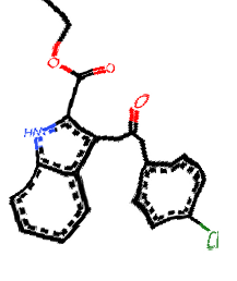 CCOC(=O)c1[nH]c2ccccc2c1C(=O)c1ccc(Cl)cc1